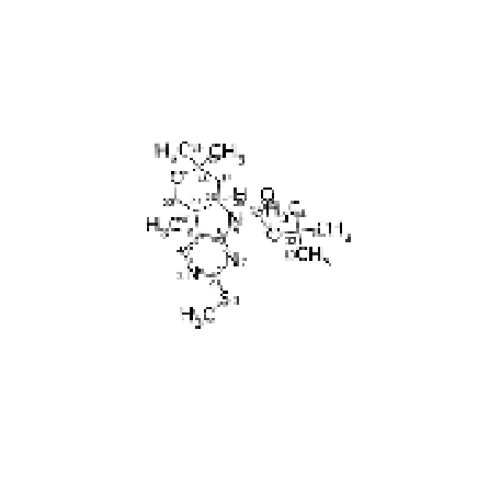 CSc1ncc2c(n1)N(C(=O)OC(C)(C)C)[C@@H]1CC(C)(C)OC[C@]21C